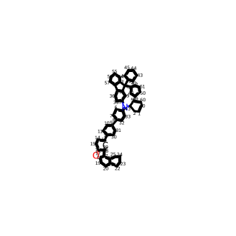 C1=CCC(N(c2ccc(-c3ccc(-c4ccc5oc6ccc7ccccc7c6c5c4)cc3)cc2)c2ccc3c(c2)C(c2ccccc2)(c2ccccc2)c2ccccc2-3)C=C1